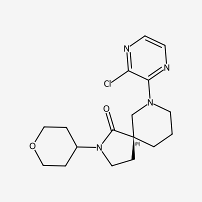 O=C1N(C2CCOCC2)CC[C@@]12CCCN(c1nccnc1Cl)C2